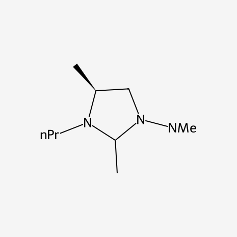 CCCN1C(C)N(NC)C[C@@H]1C